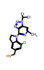 CCC(CC)n1nnc2c(N3CCc4cc(CS)cc(Cl)c43)nc(C)cc21